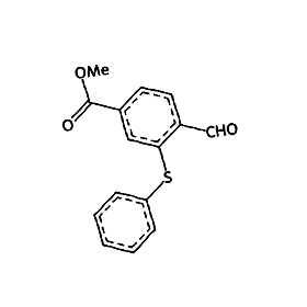 COC(=O)c1ccc(C=O)c(Sc2ccccc2)c1